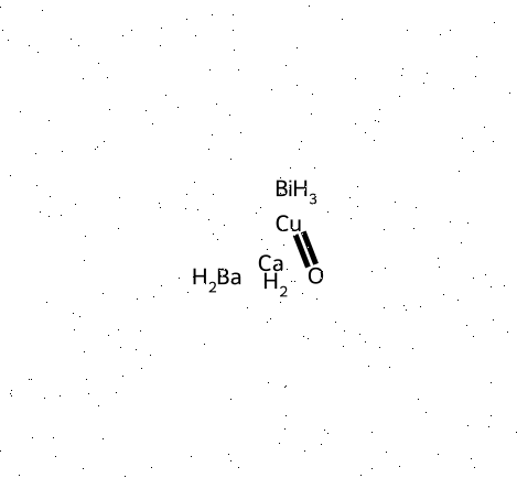 [BaH2].[BiH3].[CaH2].[O]=[Cu]